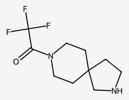 O=C(N1CCC2(CCNC2)CC1)C(F)(F)F